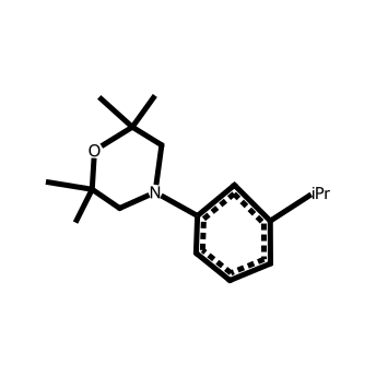 CC(C)c1cccc(N2CC(C)(C)OC(C)(C)C2)c1